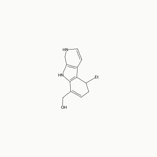 CCC1CC=C(CO)c2[nH]c3c(c21)C=CNC3